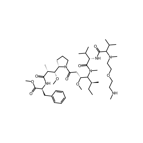 CC[C@H](C)C([C@@H](CC(=O)N1CCC[C@H]1[C@H](OC)[C@@H](C)C(=O)N[C@@H](Cc1ccccc1)C(=O)OC)OC)N(C)C(=O)[C@@H](NC(=O)C(C(C)C)N(C)CCOCCNC)C(C)C